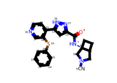 N#CN1CC2CC[C@]2(NC(=O)c2cc(-c3ccncc3Sc3ccccc3)[nH]n2)C1